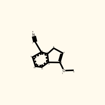 COC1=CCc2c(C#N)cccc21